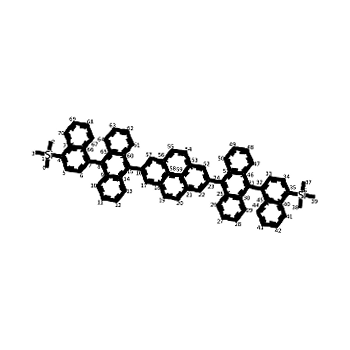 C[Si](C)(C)c1ccc(-c2c3ccccc3c(-c3cc4ccc5cc(-c6c7ccccc7c(-c7ccc([Si](C)(C)C)c8ccccc78)c7ccccc67)cc6ccc(c3)c4c56)c3ccccc23)c2ccccc12